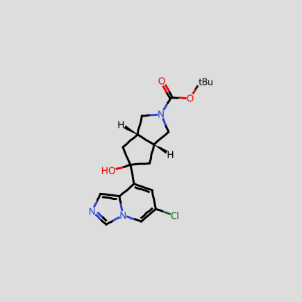 CC(C)(C)OC(=O)N1C[C@@H]2CC(O)(c3cc(Cl)cn4cncc34)C[C@@H]2C1